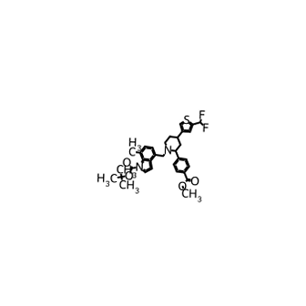 COC(=O)c1ccc(C2CC(c3csc(C(F)F)c3)CCN2Cc2ccc(C)c3c2ccn3C(=O)OC(C)(C)C)cc1